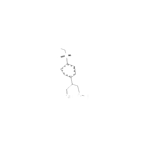 CCS(=O)(=O)c1ccc(C(CN)CNC)cc1